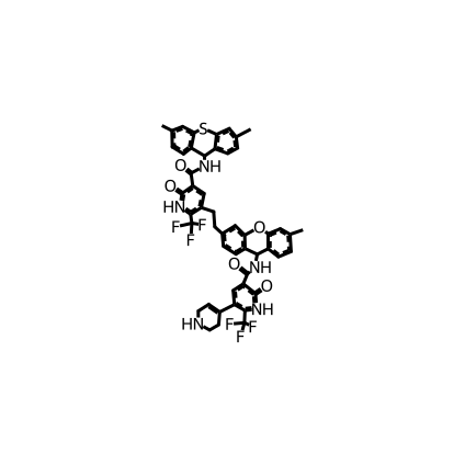 Cc1ccc2c(c1)Oc1cc(CCc3cc(C(=O)NC4c5ccc(C)cc5Sc5cc(C)ccc54)c(=O)[nH]c3C(F)(F)F)ccc1C2NC(=O)c1cc(C2=CCNCC2)c(C(F)(F)F)[nH]c1=O